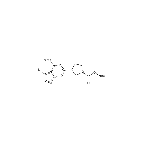 COc1nc(C2CCN(C(=O)OC(C)(C)C)C2)cc2ncc(I)n12